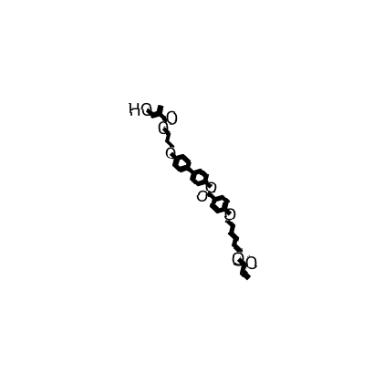 C=CC(=O)OCCCCCCOc1ccc(C(=O)Oc2ccc(-c3ccc(OCCCOC(=O)C(=C)CO)cc3)cc2)cc1